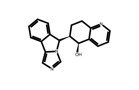 O[C@@H]1c2cccnc2CC[C@@H]1C1c2ccccc2-c2cncn21